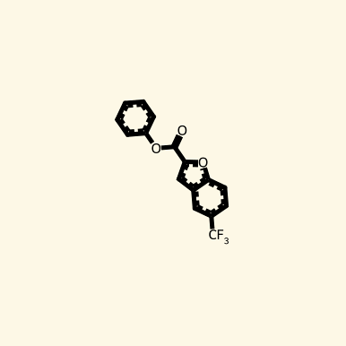 O=C(Oc1ccccc1)c1cc2cc(C(F)(F)F)ccc2o1